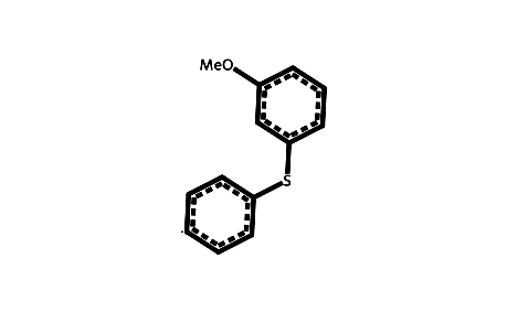 COc1cccc(Sc2cc[c]cc2)c1